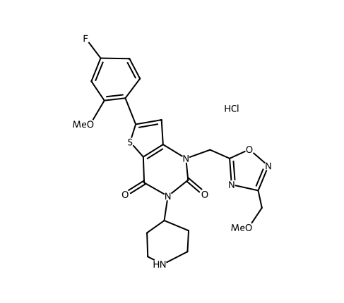 COCc1noc(Cn2c(=O)n(C3CCNCC3)c(=O)c3sc(-c4ccc(F)cc4OC)cc32)n1.Cl